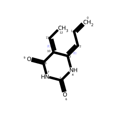 C=C/C=c1/[nH]c(=O)[nH]c(=O)/c1=C/C